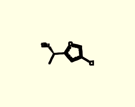 C[C@@H](c1cc(Cl)co1)C(C)(C)C